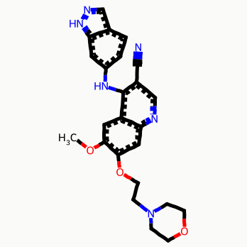 COc1cc2c(Nc3ccc4cn[nH]c4c3)c(C#N)cnc2cc1OCCN1CCOCC1